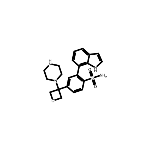 NS(=O)(=O)c1ccc(C2(N3CCNCC3)COC2)cc1-c1cccc2cc[nH]c12